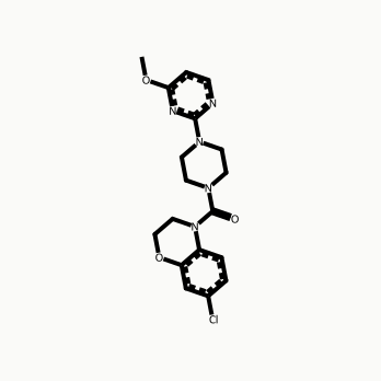 COc1ccnc(N2CCN(C(=O)N3CCOc4cc(Cl)ccc43)CC2)n1